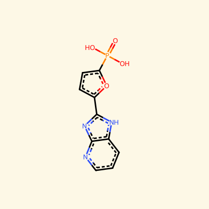 O=P(O)(O)c1ccc(-c2nc3ncccc3[nH]2)o1